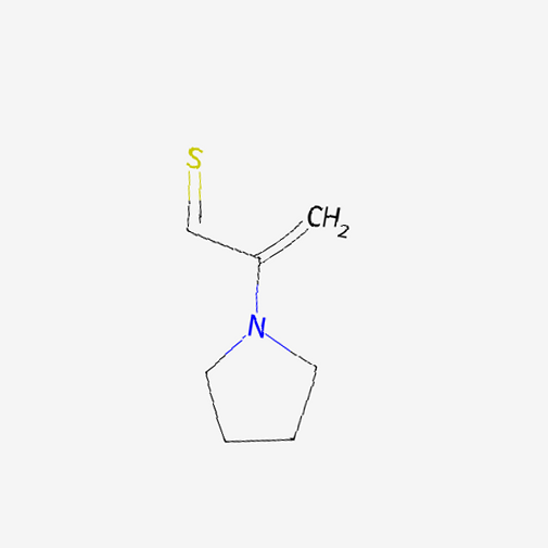 C=C(C=S)N1CCCC1